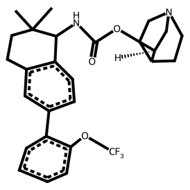 CC1(C)CCc2cc(-c3ccccc3OC(F)(F)F)ccc2C1NC(=O)O[C@H]1CN2CCC1CC2